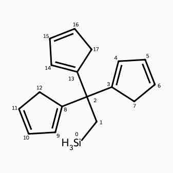 [SiH3]CC(C1=CC=CC1)(C1=CC=CC1)C1=CC=CC1